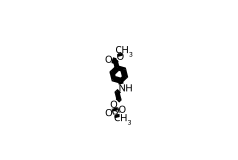 COC(=O)c1ccc(NCCOS(C)(=O)=O)cc1